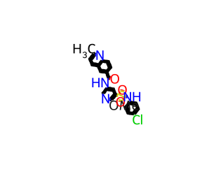 COc1ncc(NC(=O)c2ccc3nc(C)ccc3c2)cc1S(=O)(=O)Nc1ccc(Cl)cc1